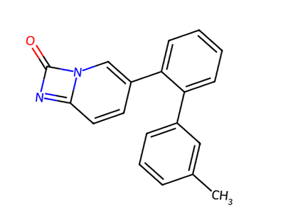 Cc1cccc(-c2ccccc2C2=CN3C(=O)N=C3C=C2)c1